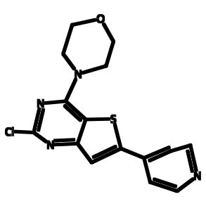 Clc1nc(N2CCOCC2)c2sc(-c3ccncc3)cc2n1